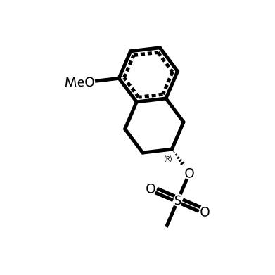 COc1cccc2c1CC[C@@H](OS(C)(=O)=O)C2